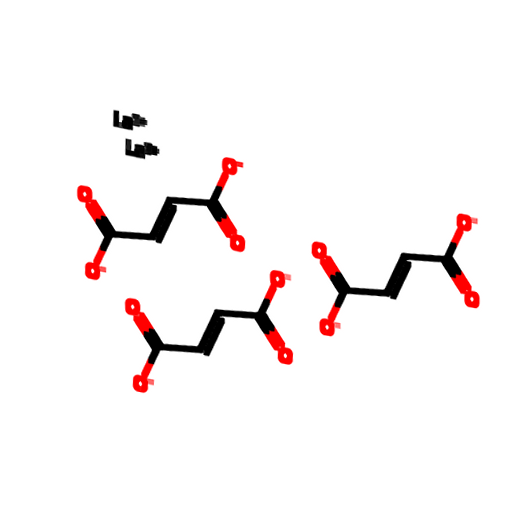 O=C([O-])C=CC(=O)[O-].O=C([O-])C=CC(=O)[O-].O=C([O-])C=CC(=O)[O-].[La+3].[La+3]